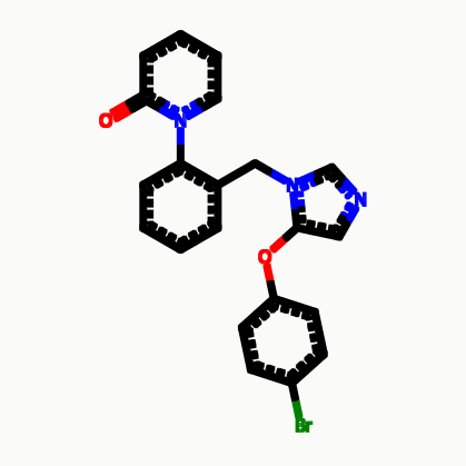 O=c1ccccn1-c1ccccc1Cn1cncc1Oc1ccc(Br)cc1